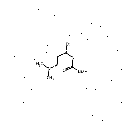 CCC(CCN(C)C)NC(=O)NC